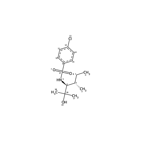 CC[C@H](C)[C@H](NS(=O)(=O)c1ccc(Cl)cc1)C(C)(C)O